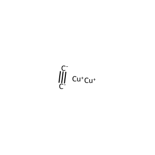 [C-]#[C-].[Cu+].[Cu+]